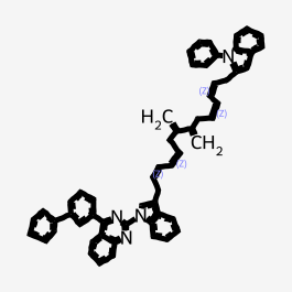 C=C(C/C=C\C=C/Cc1cn(-c2nc(-c3cccc(-c4ccccc4)c3)c3ccccc3n2)c2ccccc12)C(=C)C/C=C\C=C/Cc1cc2ccccc2n1-c1ccccc1